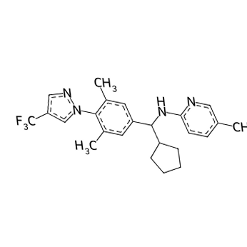 Cc1cc(C(Nc2ccc(C=O)cn2)C2CCCC2)cc(C)c1-n1cc(C(F)(F)F)cn1